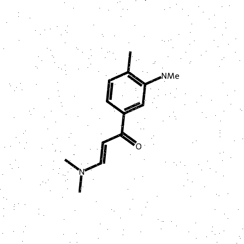 CNc1cc(C(=O)/C=C/N(C)C)ccc1C